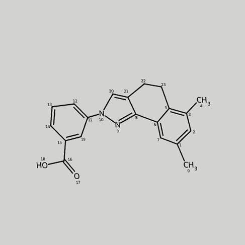 Cc1cc(C)c2c(c1)-c1nn(-c3cccc(C(=O)O)c3)cc1CC2